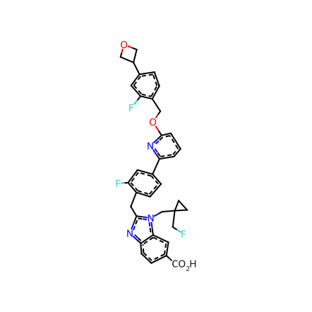 O=C(O)c1ccc2nc(Cc3ccc(-c4cccc(OCc5ccc(C6COC6)cc5F)n4)cc3F)n(CC3(CF)CC3)c2c1